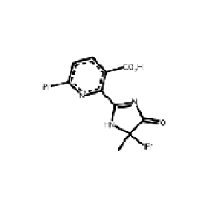 CC(C)c1ccc(C(=O)O)c(C2=NC(=O)C(C)(C(C)C)N2)n1